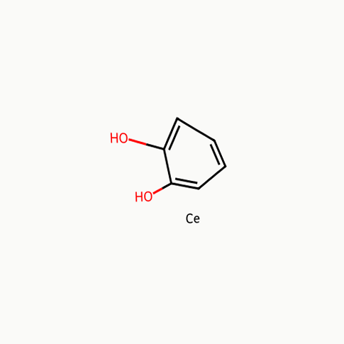 Oc1ccccc1O.[Ce]